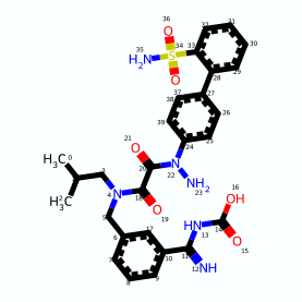 CC(C)CN(Cc1cccc(C(=N)NC(=O)O)c1)C(=O)C(=O)N(N)c1ccc(-c2ccccc2S(N)(=O)=O)cc1